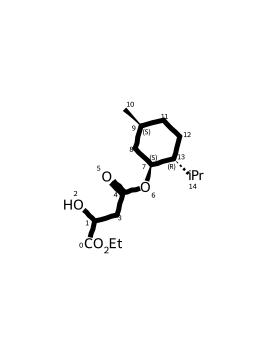 CCOC(=O)C(O)CC(=O)O[C@H]1C[C@@H](C)CC[C@@H]1C(C)C